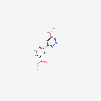 COC(=O)c1cccc(-c2cncc(OC)c2)c1